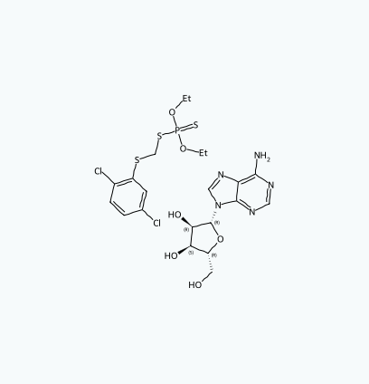 CCOP(=S)(OCC)SCSc1cc(Cl)ccc1Cl.Nc1ncnc2c1ncn2[C@@H]1O[C@H](CO)[C@@H](O)[C@H]1O